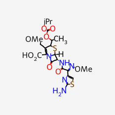 COCC1=C(C(=O)O)N2C(=O)[C@@H](NC(=O)C(=NOC)c3csc(N)n3)[C@H]2SC1C(C)OC(=O)OC(C)C